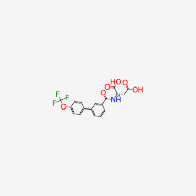 O=C(O)C[C@H](NC(=O)c1cccc(-c2ccc(OC(F)(F)F)cc2)c1)C(=O)O